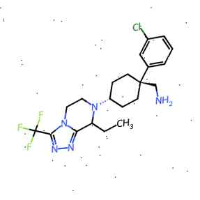 CCC1c2nnc(C(F)(F)F)n2CCN1[C@H]1CC[C@@](CN)(c2cccc(Cl)c2)CC1